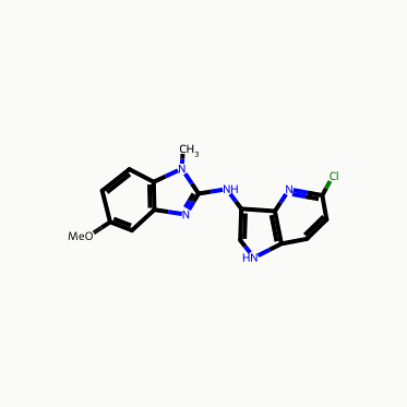 COc1ccc2c(c1)nc(Nc1c[nH]c3ccc(Cl)nc13)n2C